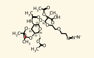 CC(=O)N[C@H]1[C@H](O[C@@H](OCCOCCN=[N+]=[N-])[C@@](C)(OC(C)=O)C(=O)O)O[C@H](COC(C)=O)[C@@H](OC(C)=O)[C@@H]1OC(C)=O